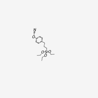 CCO[Si](CCCc1ccc(OC#N)cc1)(OCC)OCC